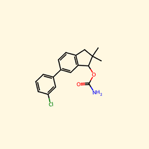 CC1(C)Cc2ccc(-c3cccc(Cl)c3)cc2C1OC(N)=O